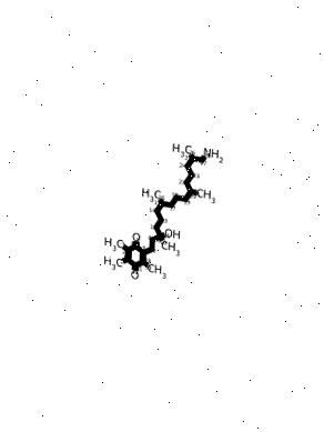 CC1=C(C)C(=O)C(CCC(C)(O)CCCC(C)CCCC(C)CCCC(C)CN)=C(C)C1=O